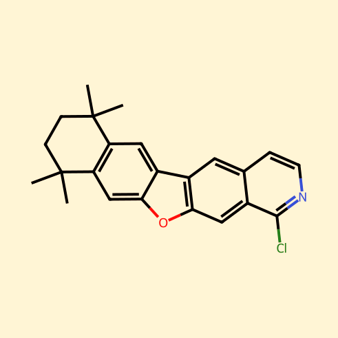 CC1(C)CCC(C)(C)c2cc3c(cc21)oc1cc2c(Cl)nccc2cc13